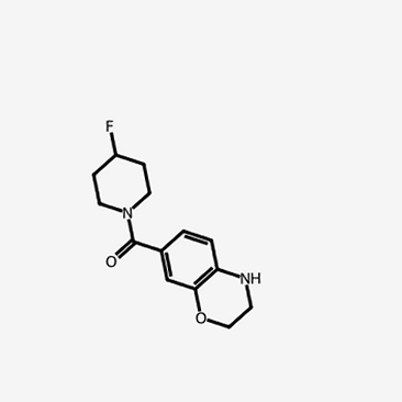 O=C(c1ccc2c(c1)OCCN2)N1CCC(F)CC1